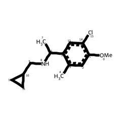 COc1cc(C)c(C(C)NCC2CC2)cc1Cl